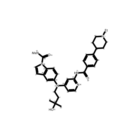 CCN1CCC(c2ccc(C(=O)Nc3cc(N(CCC(C)(C)O)c4ccc5c(ccn5C(=O)NC)c4)ccn3)cc2)CC1